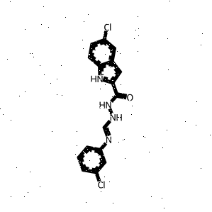 O=C(NNC=Nc1cccc(Cl)c1)c1cc2cc(Cl)ccc2[nH]1